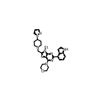 CCn1c(CN2CCC(n3cccn3)CC2)nc2c(N3CCOCC3)nc(-c3cccc4[nH]ccc34)nc21